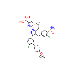 COC1CC=C(c2cc(-c3nn(-c4nc(C(O)O)cs4)c(CC4CC4)c3Cc3ccc([S+](N)[O-])c(F)c3)ccc2F)CC1